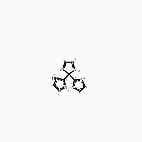 C1=NC(c2ncc[nH]2)(c2nnc[nH]2)N=N1